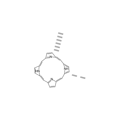 C1=Cc2cc3ccc(cc4nc(cc5ccc(cc1n2)[nH]5)C=C4)[nH]3.C=C.C=C.C=C.C=C.C=C.C=C.C=C.C=C